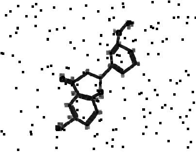 CC(C)Oc1cccc(C2CC(=O)c3cc(Br)ccc3O2)c1